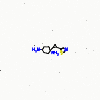 NC1CCC(N)(C2CC2c2cncs2)CC1